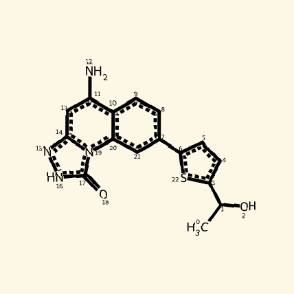 CC(O)c1ccc(-c2ccc3c(N)cc4n[nH]c(=O)n4c3c2)s1